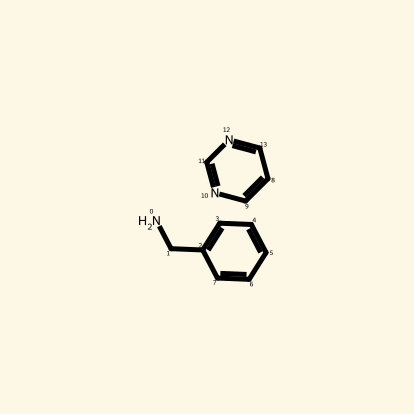 NCc1ccccc1.c1cncnc1